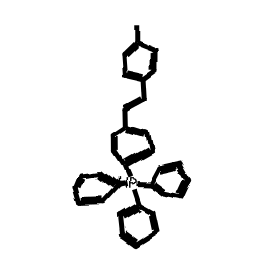 Cc1ccc(C=Cc2ccc([PH](c3ccccc3)(c3ccccc3)c3ccccc3)cc2)cc1